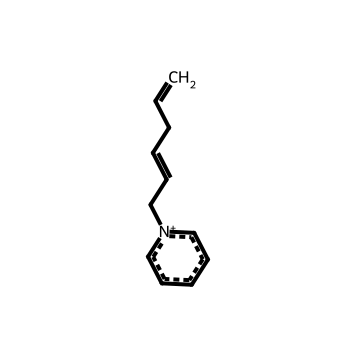 C=CCC=CC[n+]1ccccc1